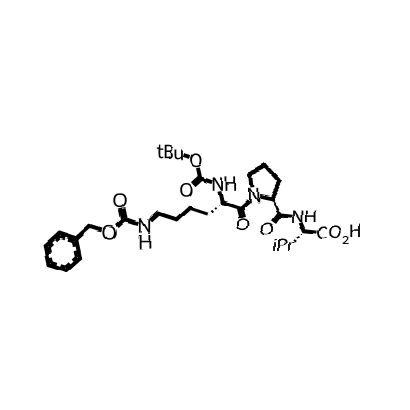 CC(C)[C@H](NC(=O)[C@@H]1CCCN1C(=O)[C@H](CCCCNC(=O)OCc1ccccc1)NC(=O)OC(C)(C)C)C(=O)O